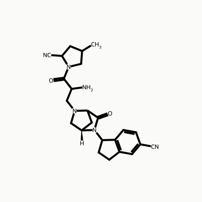 CC1CC(C#N)N(C(=O)C(N)CN2C[C@@H]3CC2C(=O)N3C2CCc3cc(C#N)ccc32)C1